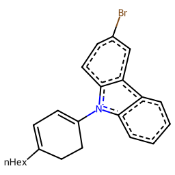 CCCCCCC1=CC=C(n2c3ccccc3c3cc(Br)ccc32)CC1